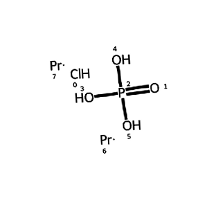 Cl.O=P(O)(O)O.[Pr].[Pr]